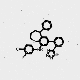 Fc1cc(Nc2cc(-c3ccccc3-c3nnn[nH]3)cc3c2OCCCC3c2ccccc2)ccc1Cl